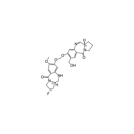 COc1cc2c(cc1OCOc1cc3c(cc1CO)C(=O)N1CCC[C@H]1C=N3)NC[C@@H]1C[C@H](F)CN1C2=O